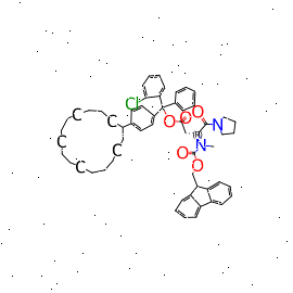 CN(C(=O)OCC1c2ccccc2-c2ccccc21)[C@H](CC(=O)OC(c1ccccc1)(c1ccc(C2CCCCCCCCCCCCCCC2)cc1)c1ccccc1Cl)C(=O)N1CCCC1